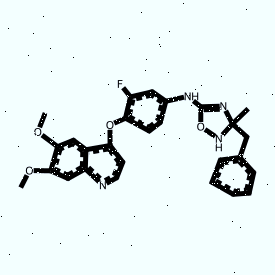 COc1cc2nccc(Oc3ccc(NC4=NC(C)(Cc5ccccc5)NO4)cc3F)c2cc1OC